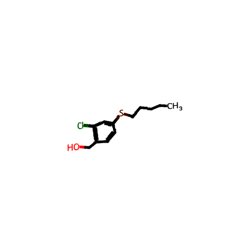 CCCCCSc1ccc(CO)c(Cl)c1